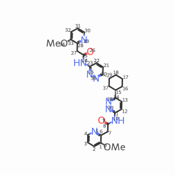 COc1cccnc1CC(=O)Nc1ccc([C@@H]2CCC[C@@H](c3ccc(NC(=O)Cc4ncccc4OC)nn3)C2)nn1